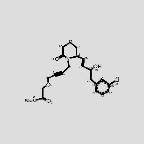 COC(=O)COCC#CCN1C(=O)CCCC1C=CC(O)Cc1cccc(Cl)c1